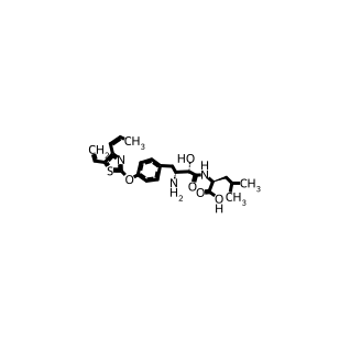 C=Cc1sc(Oc2ccc(C[C@@H](N)[C@H](O)C(=O)N[C@@H](CC(C)C)C(=O)O)cc2)nc1/C=C\C